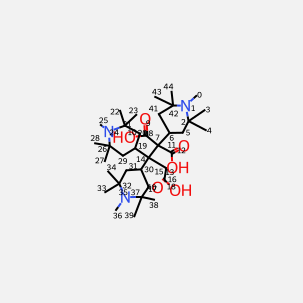 CN1C(C)(C)CC(C(C(=O)O)(C(=O)O)C(CC(=O)O)(C2CC(C)(C)N(C)C(C)(C)C2)C2CC(C)(C)N(C)C(C)(C)C2)CC1(C)C